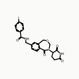 O=C1CCC(N2COCc3cc(CNC(=O)c4ccc(I)cc4)ccc3C2=O)C(=O)N1